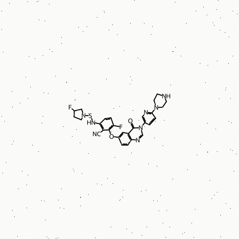 N#Cc1c(NSN2CCC(F)C2)ccc(F)c1Oc1ccc2ncn(-c3ccc(N4CCNCC4)nc3)c(=O)c2c1